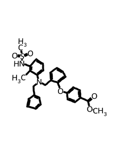 COC(=O)c1ccc(Oc2ccccc2CN(Cc2ccccc2)c2cccc(NS(C)(=O)=O)c2C)cc1